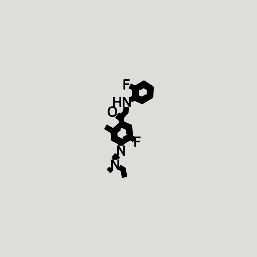 CCN(C)C=Nc1cc(C)c(C(=O)CNc2ccccc2F)cc1F